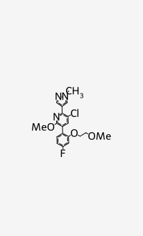 COCCOc1cc(F)ccc1-c1cc(Cl)c(-c2cnn(C)c2)nc1OC